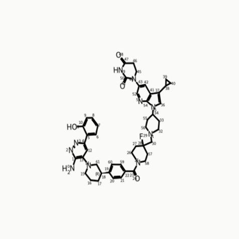 Nc1nnc(-c2ccccc2O)cc1N1CCC[C@H](c2ccc(C(=O)N3CCC(F)(CN4CCC(n5cc(C6CC6)c6cc(N7CCC(=O)NC7=O)cnc65)CC4)CC3)cc2)C1